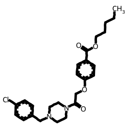 CCCCCOC(=O)c1ccc(OCC(=O)N2CCN(Cc3ccc(Cl)cc3)CC2)cc1